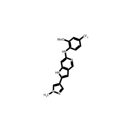 COc1cc(C(F)(F)F)ccc1Nc1cc2[nH]c(-c3cnn(C)c3)cc2cn1